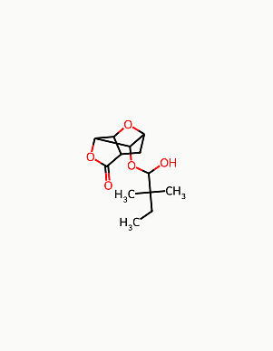 CCC(C)(C)C(O)OC1C2CC3C(=O)OC1C3O2